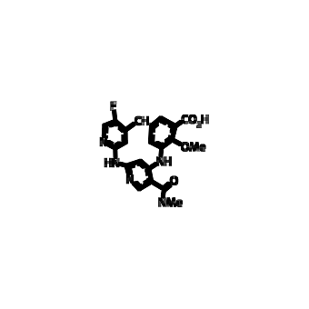 CNC(=O)c1cnc(Nc2cc(C)c(F)cn2)cc1Nc1cccc(C(=O)O)c1OC